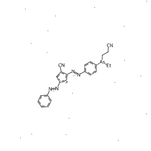 CC[As](CCC#N)c1ccc(/N=N/c2sc(/N=N/c3ccccc3)cc2C#N)cc1